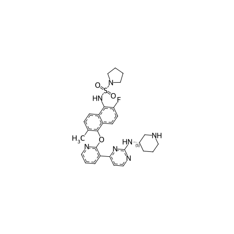 Cc1ccc2c(NS(=O)(=O)N3CCCC3)c(F)ccc2c1Oc1ncccc1-c1ccnc(N[C@H]2CCCNC2)n1